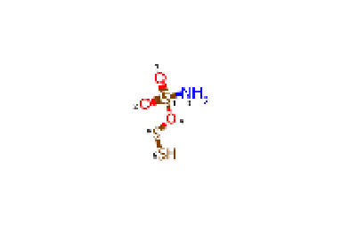 NS(=O)(=O)OSS